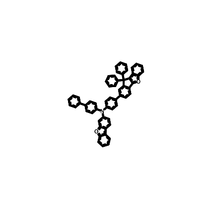 c1ccc(-c2ccc(N(c3ccc(-c4ccc5c(c4)C(c4ccccc4)(c4ccccc4)c4c-5oc5ccccc45)cc3)c3ccc4c(c3)oc3ccccc34)cc2)cc1